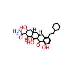 NC(=O)C1C(=O)[C@@]2(O)C(O)=C3C(=O)c4c(O)ccc(CCC5CCCCC5)c4C[C@H]3C[C@H]2CC1O